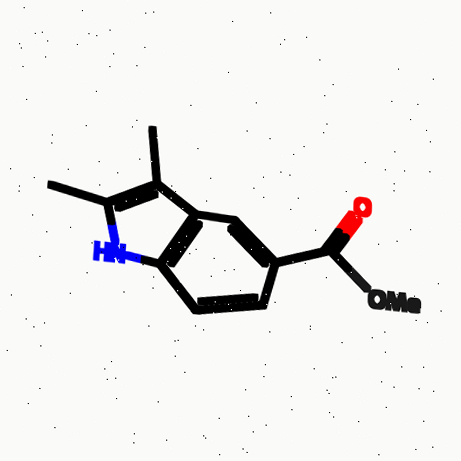 COC(=O)c1ccc2[nH]c(C)c(C)c2c1